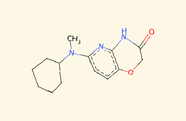 CN(c1ccc2c(n1)NC(=O)CO2)C1CCCCC1